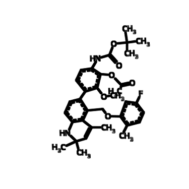 COc1c(-c2ccc3c(c2COc2cc(F)ccc2C)C(C)=CC(C)(C)N3)ccc(NC(=O)OC(C)(C)C)c1OC(C)=O